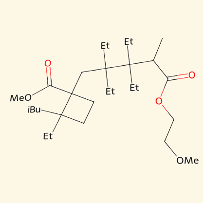 CCC(C)C1(CC)CCC1(CC(CC)(CC)C(CC)(CC)C(C)C(=O)OCCOC)C(=O)OC